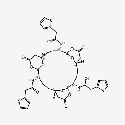 O=C(Cc1cccs1)N[C@H]1CC[C@H]2CC(=O)OB(O2)[C@@H](NC(=O)Cc2cccs2)CC[C@H]2CC(=O)OB(O2)[C@@H](NC(O)Cc2cccs2)CC[C@H]2CC(=O)OB1O2